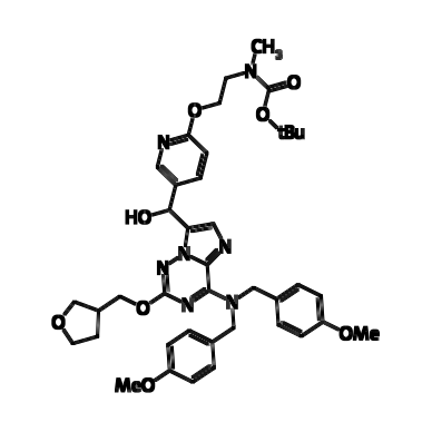 COc1ccc(CN(Cc2ccc(OC)cc2)c2nc(OCC3CCOC3)nn3c(C(O)c4ccc(OCCN(C)C(=O)OC(C)(C)C)nc4)cnc23)cc1